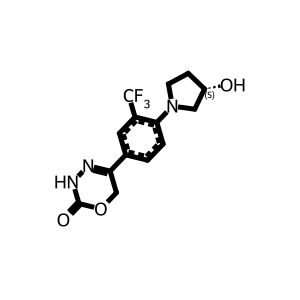 O=C1NN=C(c2ccc(N3CC[C@H](O)C3)c(C(F)(F)F)c2)CO1